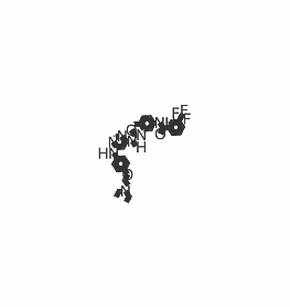 CCN(CC)CCOc1ccc(Nc2cc(N(C)C(=O)Nc3cc(NC(=O)c4cccc(C(F)(F)F)c4)ccc3C)ncn2)cc1